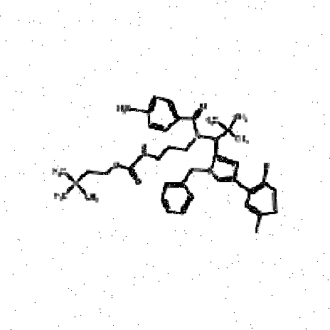 CC(C)(C)C(c1cc(-c2cc(F)ccc2F)cn1Cc1ccccc1)N(CCCNC(=O)OCC[Si](C)(C)C)C(=O)c1ccc(N)cc1